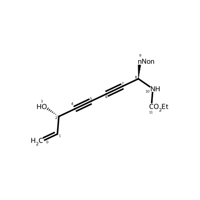 C=C[C@H](O)C#CC#C[C@@H](CCCCCCCCC)NC(=O)OCC